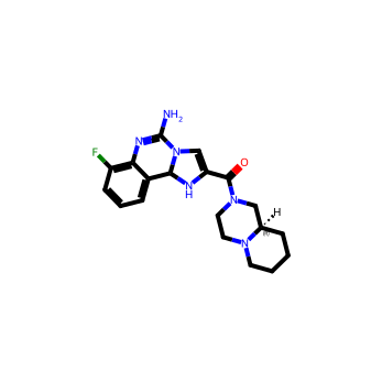 NC1=Nc2c(F)cccc2C2NC(C(=O)N3CCN4CCCC[C@@H]4C3)=CN12